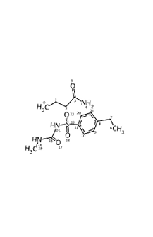 CCCC(N)=O.CCc1ccc(S(=O)(=O)NC(=O)NC)cc1